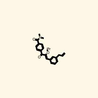 C=CCc1cccc(C=C(OC(C)C)C(=O)c2ccc(C(=O)N(C)C)cc2)c1